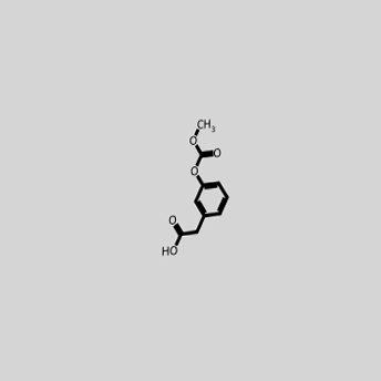 COC(=O)Oc1cccc(CC(=O)O)c1